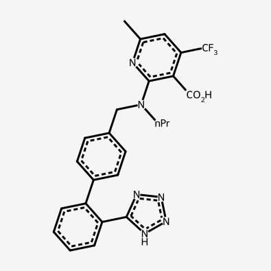 CCCN(Cc1ccc(-c2ccccc2-c2nnn[nH]2)cc1)c1nc(C)cc(C(F)(F)F)c1C(=O)O